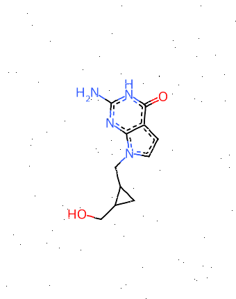 Nc1nc2c(ccn2CC2CC2CO)c(=O)[nH]1